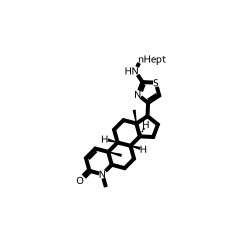 CCCCCCCNc1nc(C2CC[C@H]3[C@@H]4CCC5N(C)C(=O)C=C[C@]5(C)[C@@H]4CC[C@]23C)cs1